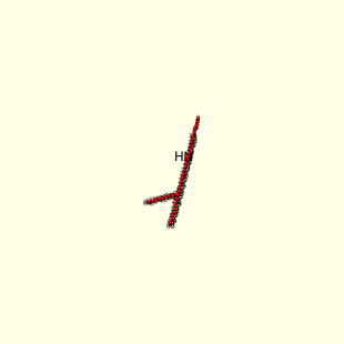 CCCCCCCCCCCCCCCCCCCCCCNCCCCCCCCCCCCCCCCCCCCCC(CCCCCCCCCCCCCCCCCC)CCCCCCCCCCCCCCCCCC